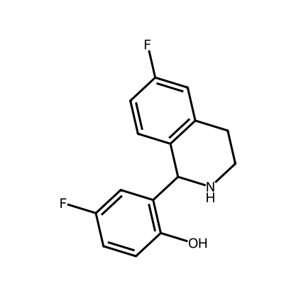 Oc1ccc(F)cc1C1NCCc2cc(F)ccc21